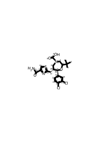 CC(C)(C)C1CN(C(=O)O)C[C@@H](Cc2nc(C(N)=O)cs2)[C@H](c2ccc(Cl)c(Cl)c2)O1